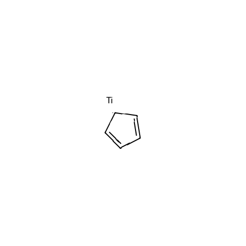 [CH]1C=CC=C1.[Ti]